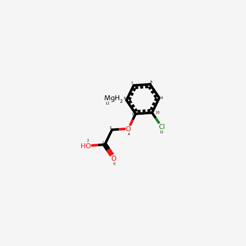 O=C(O)COc1ccccc1Cl.[MgH2]